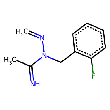 C=NN(Cc1ccccc1F)C(C)=N